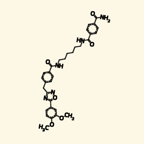 COc1ccc(-c2nc(Cc3ccc(C(=O)NCCCCCCNC(=O)c4ccc(C(N)=O)cc4)cc3)no2)cc1OC